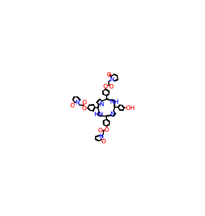 O=C(Cn1ccccc1=O)Oc1ccc(-c2c3nc(c(-c4ccc(OC(=O)Cn5ccccc5=O)cc4)c4ccc([nH]4)c(-c4ccc(OC(=O)Cn5ccccc5=O)cc4)c4nc(c(-c5ccc(O)cc5)c5ccc2[nH]5)C=C4)C=C3)cc1